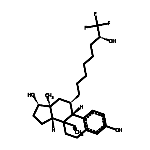 C=CC12CCc3cc(O)ccc3[C@H]1[C@@H](CCCCCC[C@@H](O)C(F)(F)F)C[C@]1(C)[C@@H](O)CC[C@@H]21